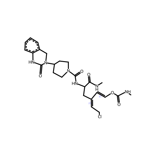 CNC(=O)O/C=C/C(=C\CCl)CC(NC(=O)N1CCC(N2Cc3ccccc3NC2=O)CC1)C(=O)NC